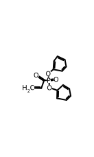 C=CC(=O)P(=O)(Oc1ccccc1)Oc1ccccc1